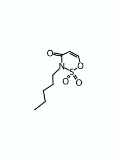 CCCCCN1C(=O)C=COS1(=O)=O